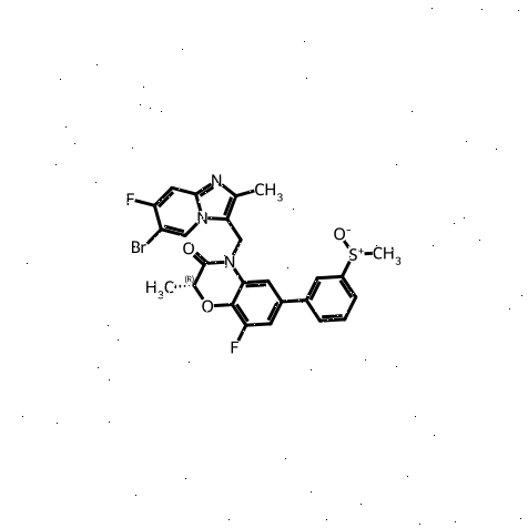 Cc1nc2cc(F)c(Br)cn2c1CN1C(=O)[C@@H](C)Oc2c(F)cc(-c3cccc([S+](C)[O-])c3)cc21